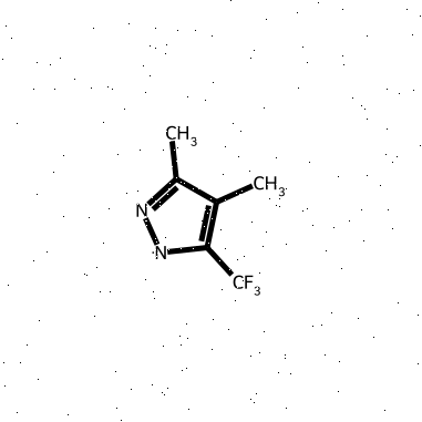 CC1=N[N]C(C(F)(F)F)=C1C